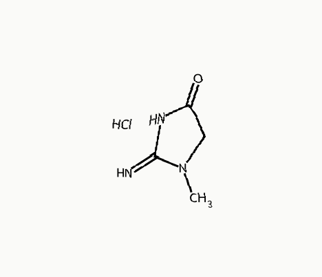 CN1CC(=O)NC1=N.Cl